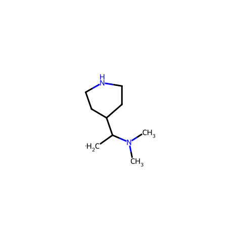 [CH2]C(C1CCNCC1)N(C)C